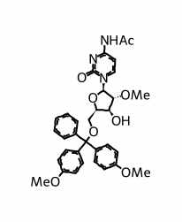 COc1ccc(C(OC[C@H]2O[C@@H](n3ccc(NC(C)=O)nc3=O)[C@H](OC)[C@H]2O)(c2ccccc2)c2ccc(OC)cc2)cc1